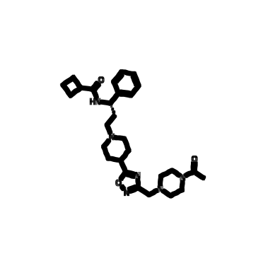 CC(=O)N1CCN(Cc2noc(C3CCN(CC[C@H](NC(=O)C4CCC4)c4ccccc4)CC3)n2)CC1